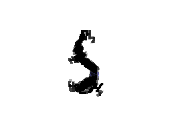 C=CCOc1ccc(C2=CNN(c3ccc(/C=C/CCCC(C)O)cc3)C=C2)cc1